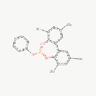 CC(C)(C)c1cc(C(C)(C)C)c2op(Oc3ccccc3)oc3c(C(C)(C)C)cc(C(C)(C)C)cc3c2c1